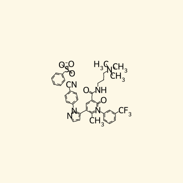 Cc1c(-c2ccnn2-c2ccc(C#N)cc2)cc(C(=O)NCCC[N+](C)(C)C)c(=O)n1-c1cccc(C(F)(F)F)c1.O=S(=O)([O-])c1ccccc1